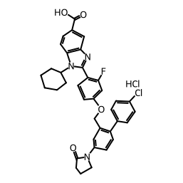 Cl.O=C(O)c1ccc2c(c1)nc(-c1ccc(OCc3cc(N4CCCC4=O)ccc3-c3ccc(Cl)cc3)cc1F)n2C1CCCCC1